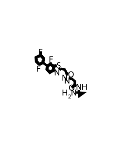 NC1(NC(=O)Cc2nnc(Cc3nc4ccc(-c5cc(F)ccc5F)c(F)c4s3)o2)CC1